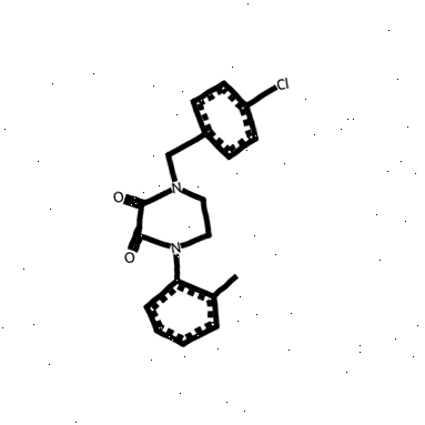 Cc1ccccc1N1CCN(Cc2ccc(Cl)cc2)C(=O)C1=O